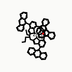 CCCCC1=Cc2c(-c3c4ccccc4cc4ccccc34)ccc(-c3c4ccccc4cc4ccccc34)c2[CH]1[Zr]([CH]1C(CCCC)=Cc2c(-c3c4ccccc4cc4ccccc34)ccc(-c3c4ccccc4cc4ccccc34)c21)[SiH](C)C